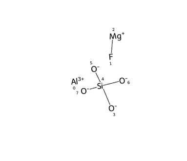 [Al+3].[F][Mg+].[O-][Si]([O-])([O-])[O-]